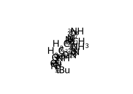 Cc1cc(-c2ncnc3[nH]c(-c4c(C)nn(C5CCNCC5)c4C)cc23)ccc1CNC(=O)c1nc(C(C)(C)C)no1